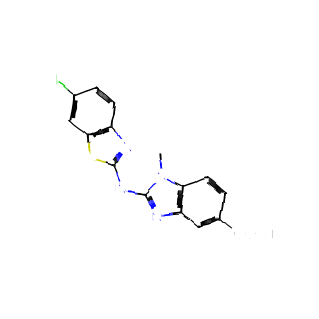 Cn1c(Nc2nc3ccc(Cl)cc3s2)nc2cc(C(=O)O)ccc21